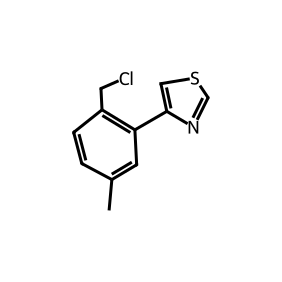 Cc1ccc(CCl)c(-c2cscn2)c1